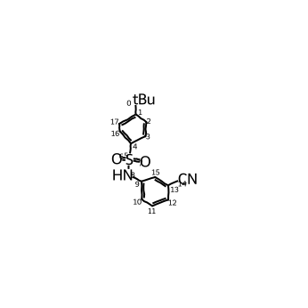 CC(C)(C)c1ccc(S(=O)(=O)Nc2cccc(C#N)c2)cc1